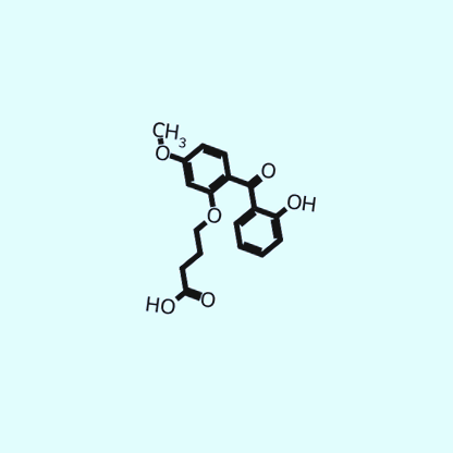 COc1ccc(C(=O)c2ccccc2O)c(OCCCC(=O)O)c1